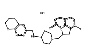 Cl.O=c1ccc2ccc(F)c3c2n1C(CN1CCC(NCc2cc4c(nn2)OCCS4)CC1)C3